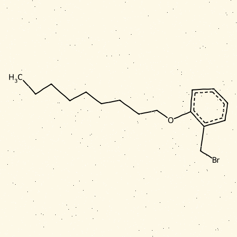 CCCCCCCCCOc1ccccc1CBr